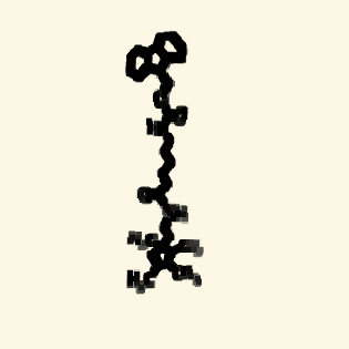 CC1=CC(C)(CCNC(=O)CCCCCNC(=O)OCC2c3ccccc3-c3ccccc32)C(C)=C1C